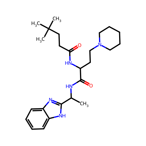 CC(NC(=O)C(CCN1CCCCC1)NC(=O)CCC(C)(C)C)c1nc2ccccc2[nH]1